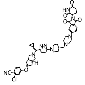 N#Cc1ccc(O[C@H]2CC3CN(C(=C4CC4)c4ccc(N5CCC(CN6CCN(c7ccc8c(c7)C(=O)N(C7CCC(=O)NC7=O)C8=O)CC6)CC5)nn4)C[C@H]3C2)cc1Cl